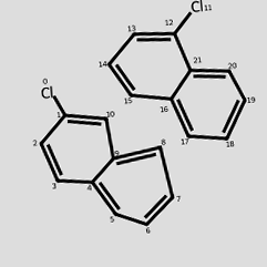 Clc1ccc2ccccc2c1.Clc1cccc2ccccc12